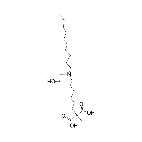 CCCCCCCCCCN(CCO)CCCCCCC(C)(C(=O)O)C(=O)O